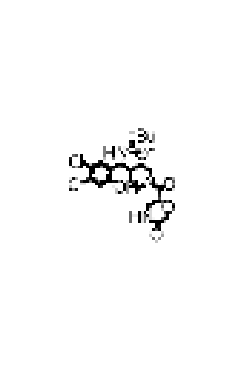 CC(C)(C)[S+]([O-])N[C@@H](c1cc(Cl)c(Cl)cc1O)C1CCN(C(=O)[C@@H]2CNC(=O)CO2)CC1